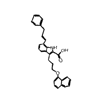 O=C(O)c1[nH]c2c(C=CCc3ccccc3)cccc2c1CCCOc1cccc2ccccc12